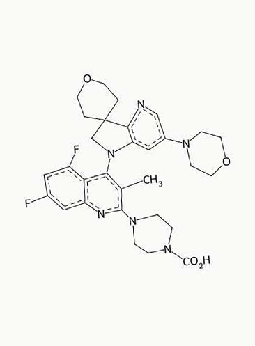 Cc1c(N2CCN(C(=O)O)CC2)nc2cc(F)cc(F)c2c1N1CC2(CCOCC2)c2ncc(N3CCOCC3)cc21